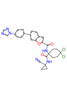 N#CC1(NC(=O)C2(NC(=O)c3cc4ccc(-c5ccc(-n6cncn6)cc5)cc4o3)CCC(Cl)(Cl)CC2)CC1